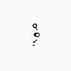 Cc1cncc(C(=O)NC23CCCC(NC(=O)c4ccc(F)cc4)(CC2)C3)n1